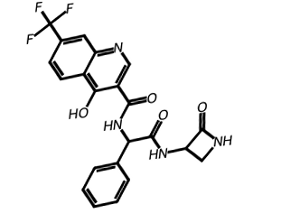 O=C(NC(C(=O)NC1CNC1=O)c1ccccc1)c1cnc2cc(C(F)(F)F)ccc2c1O